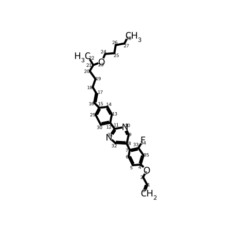 C=CCOc1ccc(-c2cnc(-c3ccc(C=CCCCC(C)OCCCCC)cc3)nc2)c(F)c1